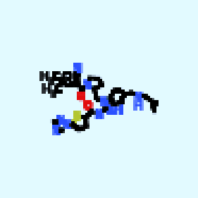 CC(C)(C)C=C(C#N)C(=O)N1CCCC1Cn1c(=NC(=O)c2ccc(-n3cncn3)s2)[nH]c2cc(CNCC3CC3)ccc21